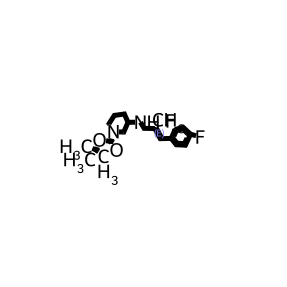 C/C(=C\c1ccc(F)cc1F)CNC1CCCN(C(=O)OC(C)(C)C)C1